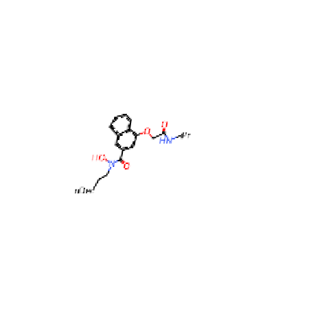 CCCCCCCCCCCCN(O)C(=O)c1cc(OCC(=O)NC(C)C)c2ccccc2c1